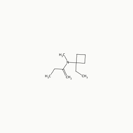 C=C(CC)N(C)C1(CC)CCC1